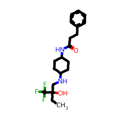 CCC(O)(CNC1CCC(NC(=O)CCc2ccccc2)CC1)C(F)(F)F